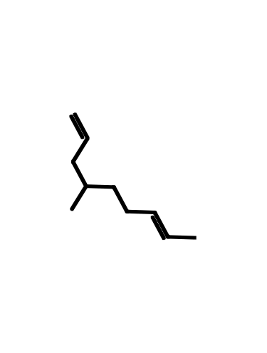 C=CCC(C)CCC=CC